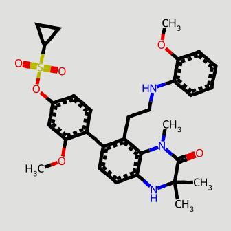 COc1ccccc1NCCc1c(-c2ccc(OS(=O)(=O)C3CC3)cc2OC)ccc2c1N(C)C(=O)C(C)(C)N2